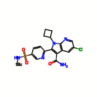 CC(C)(C)NS(=O)(=O)c1ccc(-c2c(C(N)=O)c3cc(Cl)cnc3n2C2CCC2)nc1